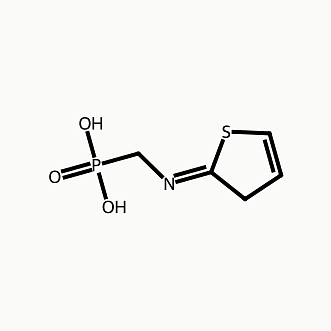 O=P(O)(O)CN=C1CC=CS1